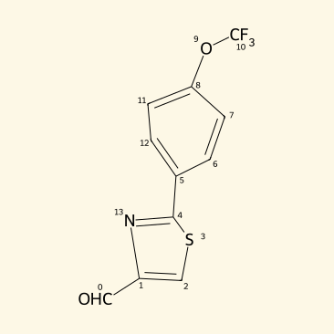 O=Cc1csc(-c2ccc(OC(F)(F)F)cc2)n1